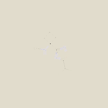 CCNC1(c2noc(C(F)F)n2)CCC1